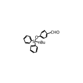 CCCC[Si](Oc1ccc(C=O)cc1)(c1ccccc1)c1ccccc1